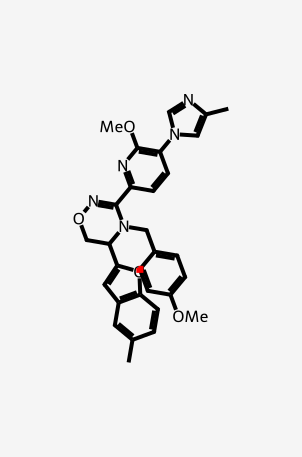 COc1ccc(CN2C(c3ccc(-n4cnc(C)c4)c(OC)n3)=NOCC2c2cc3cc(C)ccc3o2)cc1